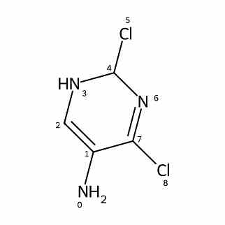 NC1=CNC(Cl)N=C1Cl